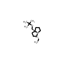 CC[C@@H]1CC[C@]2(COC(C)(C)C)CCCN12